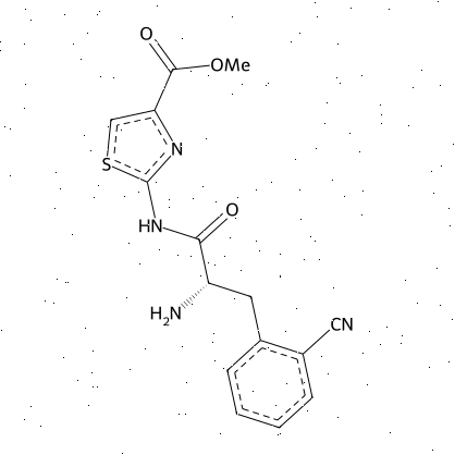 COC(=O)c1csc(NC(=O)[C@@H](N)Cc2ccccc2C#N)n1